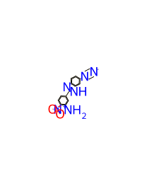 CN1CCN(c2ccc3nc(-c4ccc([N+](=O)[O-])c(N)c4)[nH]c3c2)CC1